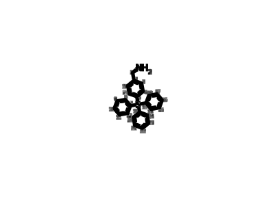 NCc1ccc(S(c2ccccc2)(c2ccccc2)c2ccccc2)cc1